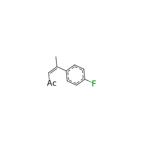 CC(=O)/C=C(/C)c1ccc(F)cc1